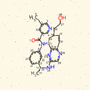 Cc1cncc(C(=O)Nc2cccc([C@H](C)Nc3cnc4c(n3)CCC(CCO)C=C4)c2)c1